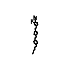 CCCCCCC1CCC(CCC2CC=C(CCc3ccc(C#N)c(F)c3)CC2)CC1